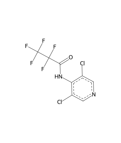 O=C(Nc1c(Cl)cncc1Cl)C(F)(F)C(F)(F)F